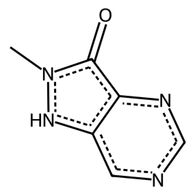 Cn1[nH]c2cncnc2c1=O